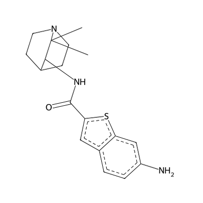 CC1(C)C(NC(=O)c2cc3ccc(N)cc3s2)C2CCN1CC2